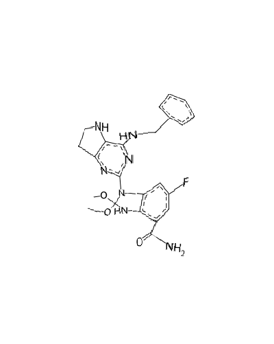 COC1(OC)Nc2c(C(N)=O)cc(F)cc2N1c1nc2c(c(NCc3ccccc3)n1)NCC2